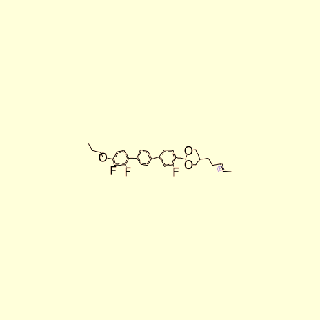 C/C=C/CCC1COC(c2ccc(-c3ccc(-c4ccc(OCCC)c(F)c4F)cc3)cc2F)OC1